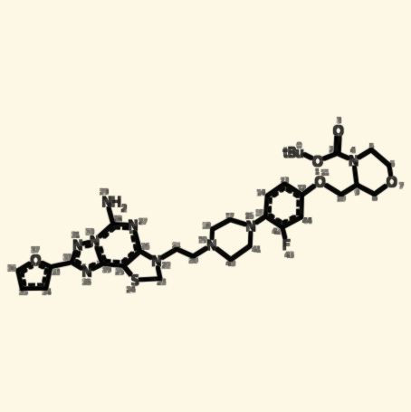 CC(C)(C)OC(=O)N1CCOCC1COc1ccc(N2CCN(CCN3CSc4c3nc(N)n3nc(-c5ccco5)nc43)CC2)c(F)c1